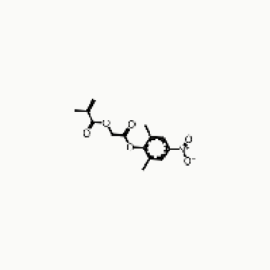 C=C(C)C(=O)OCC(=O)Oc1c(C)cc([N+](=O)[O-])cc1C